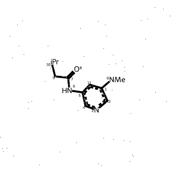 CNc1cncc(NC(=O)CC(C)C)c1